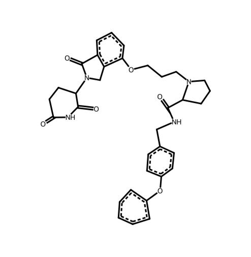 O=C1CCC(N2Cc3c(OCCCN4CCCC4C(=O)NCc4ccc(Oc5ccccc5)cc4)cccc3C2=O)C(=O)N1